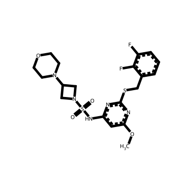 COc1cc(NS(=O)(=O)N2CC(N3CCOCC3)C2)nc(SCc2cccc(F)c2F)n1